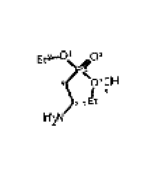 CCOP(=O)(CCN)OCC.Cl